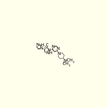 C=C1C(n2ccnc2)=CNN1c1cc(N2CCC(N(C)C)CC2)ncn1